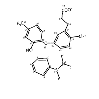 CN(C)[S+](C)c1ccccc1.N#Cc1cc(C(F)(F)F)ccc1Oc1ccc(Cl)c(CCC(=O)[O-])c1